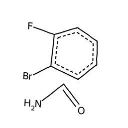 Fc1ccccc1Br.NC=O